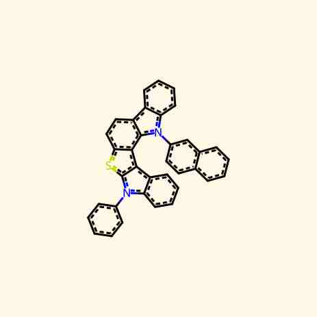 c1ccc(-n2c3ccccc3c3c4c(ccc5c6ccccc6n(-c6ccc7ccccc7c6)c54)sc32)cc1